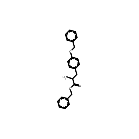 NC(Cc1ccc(OCc2ccccc2)cc1)C(=O)OCc1ccccc1